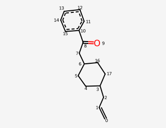 C=CCC1CCC(CC(=O)c2ccccc2)CC1